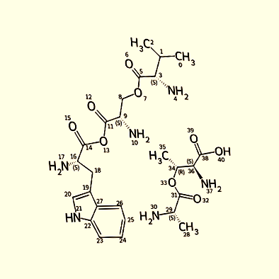 CC(C)[C@H](N)C(=O)OC[C@H](N)C(=O)OC(=O)[C@@H](N)Cc1c[nH]c2ccccc12.C[C@H](N)C(=O)O[C@H](C)[C@H](N)C(=O)O